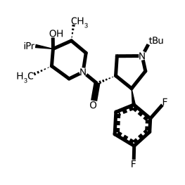 CC(C)[C@@]1(O)[C@H](C)CN(C(=O)[C@@H]2CN(C(C)(C)C)C[C@H]2c2ccc(F)cc2F)C[C@@H]1C